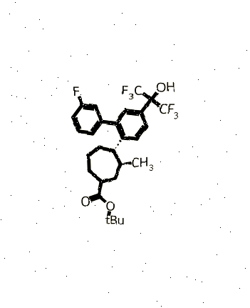 C[C@H]1CC(C(=O)OC(C)(C)C)CCC[C@@H]1c1ccc(C(O)(C(F)(F)F)C(F)(F)F)cc1-c1cccc(F)c1